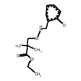 CCOC(=O)C(C)(C)CONCc1ccccc1Cl